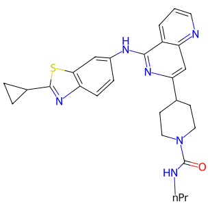 CCCNC(=O)N1CCC(c2cc3ncccc3c(Nc3ccc4nc(C5CC5)sc4c3)n2)CC1